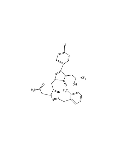 NC(=O)Cn1nc(Cc2ccccc2C(F)(F)F)nc1Cn1nc(-c2ccc(Cl)cc2)n(CC(O)C(F)(F)F)c1=O